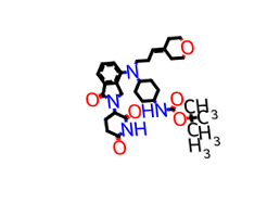 CC(C)(C)OC(=O)NC1CCC(N(CCC=C2CCOCC2)c2cccc3c2CN(C2CCC(=O)NC2=O)C3=O)CC1